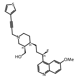 COc1ccc2nccc([C@H](F)CC[C@@H]3CCN(CC#Cc4ccsc4)C[C@@H]3CO)c2c1